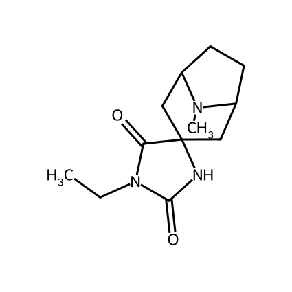 CCN1C(=O)NC2(CC3CCC(C2)N3C)C1=O